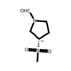 CS(=O)(=O)[C@H]1CCN([C]=O)C1